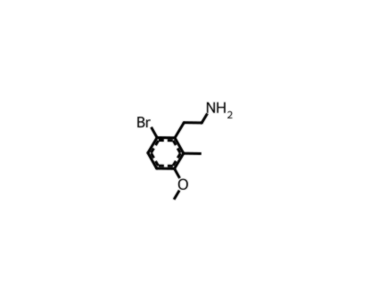 COc1ccc(Br)c(CCN)c1C